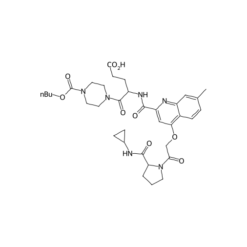 CCCCOC(=O)N1CCN(C(=O)C(CCC(=O)O)NC(=O)c2cc(OCC(=O)N3CCCC3C(=O)NC3CC3)c3ccc(C)cc3n2)CC1